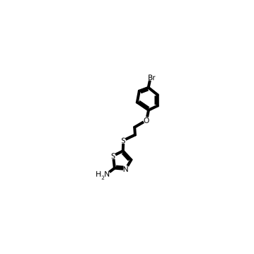 Nc1ncc(SCCOc2ccc(Br)cc2)s1